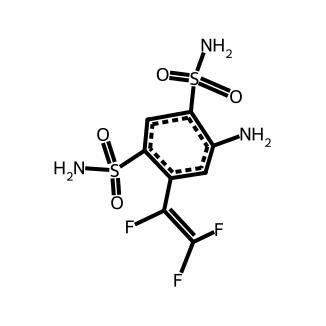 Nc1cc(C(F)=C(F)F)c(S(N)(=O)=O)cc1S(N)(=O)=O